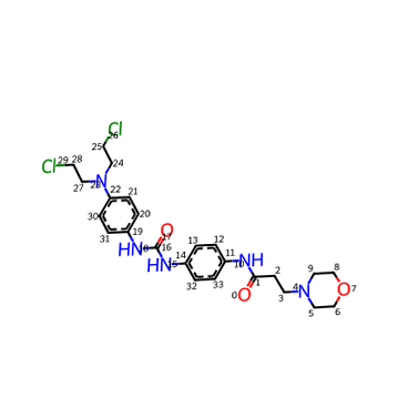 O=C(CCN1CCOCC1)Nc1ccc(NC(=O)Nc2ccc(N(CCCl)CCCl)cc2)cc1